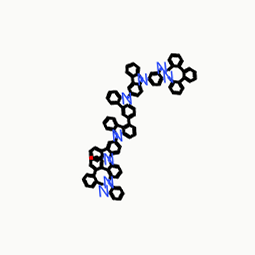 c1ccc2c(c1)-c1ccccc1-c1nc3cc(-n4c5ccccc5c5cc(-n6c7ccccc7c7cc(-c8cccc9c8c8ccccc8n9-c8ccc9c(c8)c8ccccc8n9-c8cccc9c8-c8ccccc8-c8ccccc8-c8nc%10ccccc%10n8-9)ccc76)ccc54)ccc3n1-c1ccccc1-2